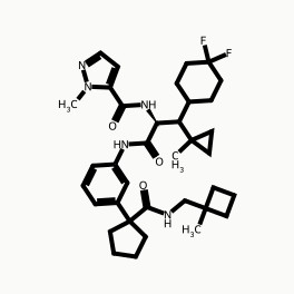 Cn1nccc1C(=O)N[C@H](C(=O)Nc1cccc(C2(C(=O)NCC3(C)CCC3)CCCC2)c1)C(C1CCC(F)(F)CC1)C1(C)CC1